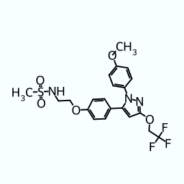 COc1ccc(-n2nc(OCC(F)(F)F)cc2-c2ccc(OCCNS(C)(=O)=O)cc2)cc1